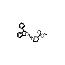 CCOC(=O)C1CCCN(CCOC=C(c2ccccc2)c2ccccc2C)C1